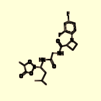 CC(C)CC(NC(=O)CNC(=O)C1CCN1c1ccc(F)cc1F)B1OC(=O)C(C)O1